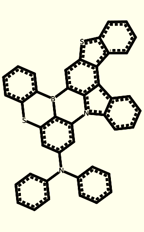 c1ccc(N(c2ccccc2)c2cc3c4c(c2)-n2c5ccccc5c5c6c(cc(c52)B4c2ccccc2S3)sc2ccccc26)cc1